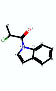 CC(Cl)C(=O)n1ccc2ccccc21